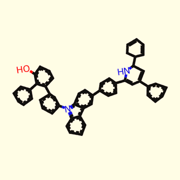 Oc1cccc(-c2cccc(-n3c4ccccc4c4cc(-c5ccc(C6=CC(c7ccccc7)=CC(C7C=CC=CC7)N6)cc5)ccc43)c2)c1-c1ccccc1